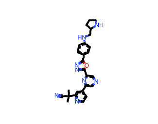 CC(C)(C#N)c1cc(-c2cncc(-c3nnc(-c4ccc(NCC5CCCN5)cc4)o3)n2)ccn1